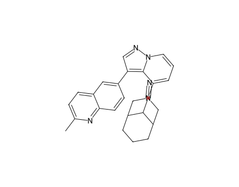 Cc1ccc2cc(-c3cnn4cccc(N5CC6CCCC(C5)C6C#N)c34)ccc2n1